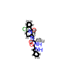 CC(C)(C)[C@H](NC(=O)c1cc2ccccc2[nH]1)C(=O)N1C[C@@H]2C1CCCN2C(=O)c1ccccc1Cl